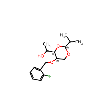 CC(C)[C@H]1OC[C@@H](OCc2ccccc2F)[C@@H](C(C)O)O1